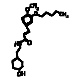 CCCCCOc1cc(C=CC(=O)NCCC2CCC(O)CC2)ccc1OC